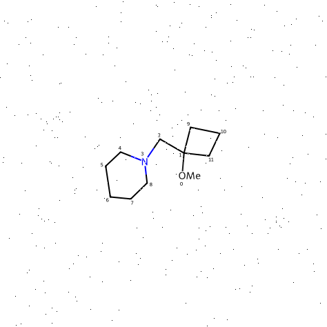 COC1(CN2CCCCC2)CCC1